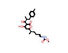 COC(=O)N/C=C/CCC(C)c1cc(O)c(C(=O)C(C)Cc2ccc(C)cc2)c(=O)o1